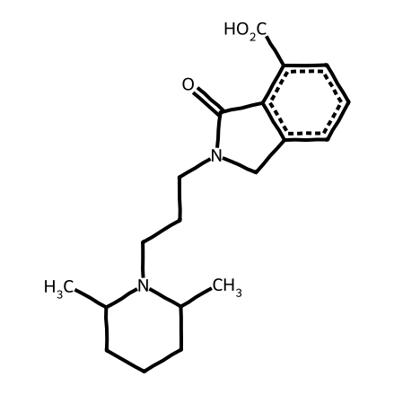 CC1CCCC(C)N1CCCN1Cc2cccc(C(=O)O)c2C1=O